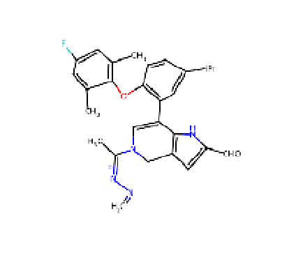 C=N/N=C(/C)N1C=C(c2cc(C(C)C)ccc2Oc2c(C)cc(F)cc2C)c2[nH]c(C=O)cc2C1